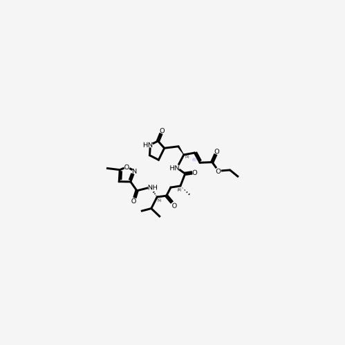 CCOC(=O)/C=C/[C@H](CC1CCNC1=O)NC(=O)[C@H](C)CC(=O)[C@@H](NC(=O)c1cc(C)on1)C(C)C